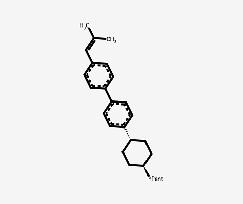 CCCCC[C@H]1CC[C@H](c2ccc(-c3ccc(C=C(C)C)cc3)cc2)CC1